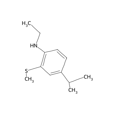 CCNc1ccc(C(C)C)cc1SC